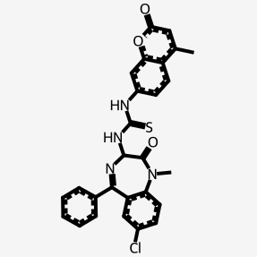 Cc1cc(=O)oc2cc(NC(=S)NC3N=C(c4ccccc4)c4cc(Cl)ccc4N(C)C3=O)ccc12